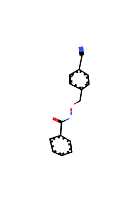 N#Cc1ccc(CONC(=O)c2c[c]ccc2)cc1